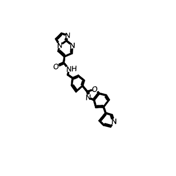 O=C(NCc1ccc(-c2nc3cc(-c4cccnc4)ccc3o2)cc1)c1cnc2nccn2c1